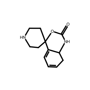 O=C1NC2CC=CC=C2C2(CCNCC2)O1